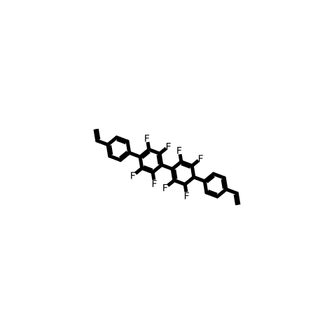 C=Cc1ccc(-c2c(F)c(F)c(C3=C(F)C(F)C(c4ccc(C=C)cc4)C(F)=C3F)c(F)c2F)cc1